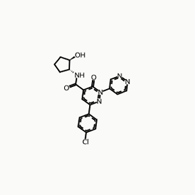 O=C(N[C@@H]1CCC[C@H]1O)c1cc(-c2ccc(Cl)cc2)nn(-c2ccnnc2)c1=O